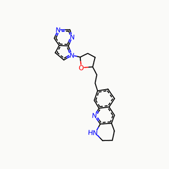 c1ncc2ccn(C3CCC(CCc4ccc5cc6c(nc5c4)NCCC6)O3)c2n1